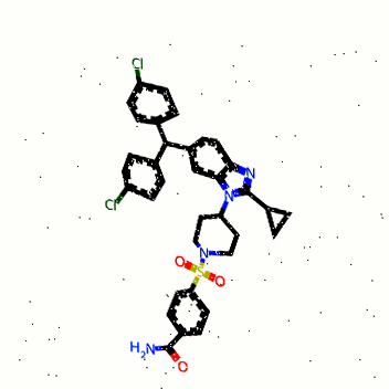 NC(=O)c1ccc(S(=O)(=O)N2CCC(n3c(C4CC4)nc4ccc(C(c5ccc(Cl)cc5)c5ccc(Cl)cc5)cc43)CC2)cc1